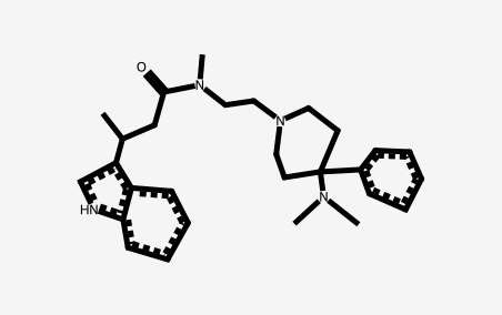 CC(CC(=O)N(C)CCN1CCC(c2ccccc2)(N(C)C)CC1)c1c[nH]c2ccccc12